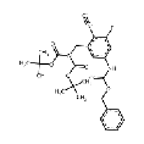 [C-]#[N+]c1c(F)cc(NC(=O)OCc2ccccc2)cc1CN(C(=O)OC(C)(C)C)C(=O)OC(C)(C)C